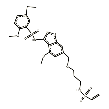 C=CS(=O)(=O)NCCCOCc1cc(OC)c2c(NS(=O)(=O)c3cc(CC)ccc3OC)noc2c1